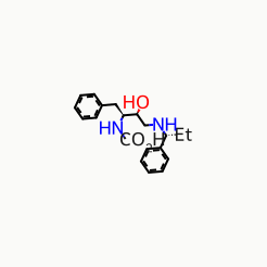 CC[C@@H](NC[C@H](O)[C@H](Cc1ccccc1)NC(=O)O)c1ccccc1